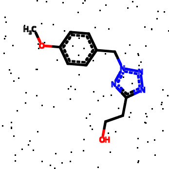 COc1ccc(Cn2nnc(CCO)n2)cc1